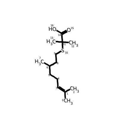 CC(C)=CCCC(C)CCSC(C)(C)C(=O)O